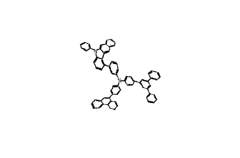 C1=Cc2c(-c3ccc(N(c4ccc(-c5cc(-c6ccccc6)cc(-c6ccccc6)c5)cc4)c4cccc(-c5cccc6c5c5cc7ccccc7cc5n6-c5ccccc5)c4)cc3)cc3ccccc3c2CC1